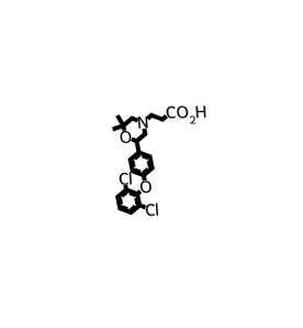 CC1(C)CN(CCC(=O)O)CC(c2ccc(Oc3c(Cl)cccc3Cl)cc2)O1